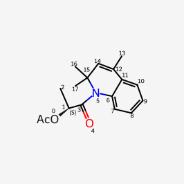 CC(=O)O[C@@H](C)C(=O)N1c2ccccc2C(C)=CC1(C)C